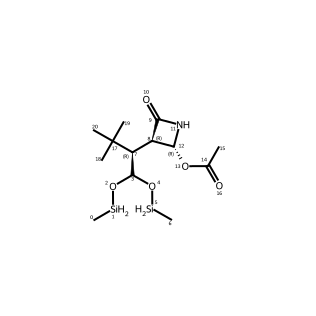 C[SiH2]OC(O[SiH2]C)[C@H]([C@H]1C(=O)N[C@@H]1OC(C)=O)C(C)(C)C